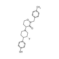 Cc1ccc(CN2OCCC(N3CCC(c4ccc(O)cc4)[C@@H](F)C3)C2=O)cc1